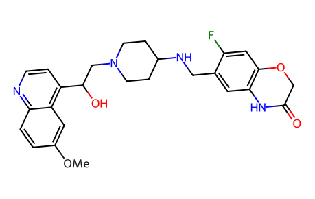 COc1ccc2nccc(C(O)CN3CCC(NCc4cc5c(cc4F)OCC(=O)N5)CC3)c2c1